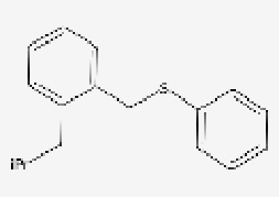 CC(C)Cc1ccccc1CSc1ccccc1